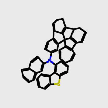 C1=CC2=C(C=CC1)C13C4=C(CCC=C4c4ccc(N(c5ccc6ccccc6c5)c5cccc6sc7ccccc7c56)cc41)C1CC=CC2=C13